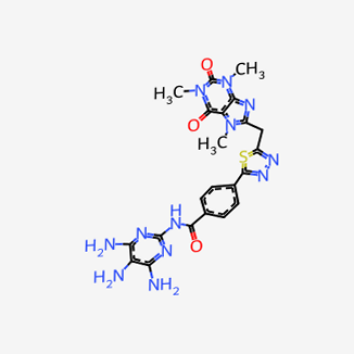 Cn1c(=O)c2c(nc(Cc3nnc(-c4ccc(C(=O)Nc5nc(N)c(N)c(N)n5)cc4)s3)n2C)n(C)c1=O